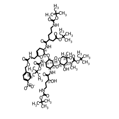 CN(C(=O)OC(C)(C)C)[C@@H]1[C@@H](O)[C@@H](O[C@@H]2[C@@H](O)[C@H](O[C@H]3OC(CNC(=O)OCc4ccc([N+](=O)[O-])cc4)=CC[C@H]3NC(=O)C(CCCNC(=O)OC(C)(C)C)CC(=O)OC(C)(C)C)[C@@H](NC(=O)OC(C)(C)C)C[C@H]2NC(=O)[C@@H](O)CCNC(=O)OC(C)(C)C)OC[C@]1(C)O